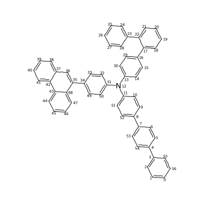 c1ccc(-c2ccc(-c3ccc(N(c4ccc(-c5ccccc5-c5ccccc5)cc4)c4ccc(-c5cc6ccccc6c6ccccc56)cc4)cc3)cc2)cc1